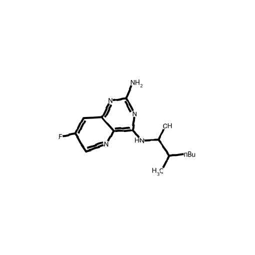 CCCCC(C)C(O)Nc1nc(N)nc2cc(F)cnc12